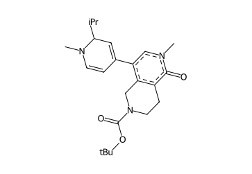 CC(C)C1C=C(c2cn(C)c(=O)c3c2CN(C(=O)OC(C)(C)C)CC3)C=CN1C